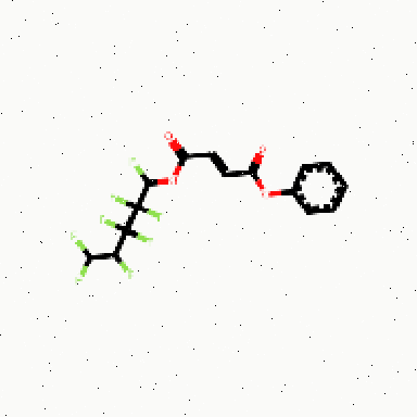 O=C(C=CC(=O)OC(F)C(F)(F)C(F)(F)C(F)C(F)F)Oc1ccccc1